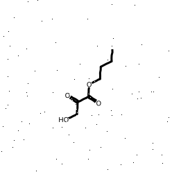 CCCCOC(=O)C(=O)CO